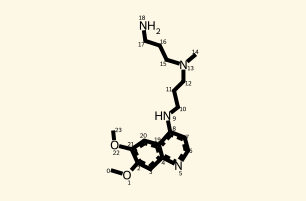 COc1cc2nccc(NCCCN(C)CCCN)c2cc1OC